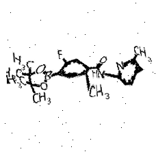 Cc1cccc(NC(=O)c2cc(F)c(B3OC(C)(C)C(C)(C)O3)cc2C)n1